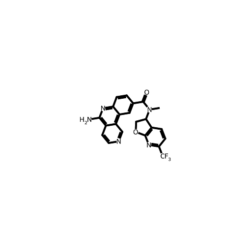 CN(C(=O)c1ccc2nc(N)c3ccncc3c2c1)C1COc2nc(C(F)(F)F)ccc21